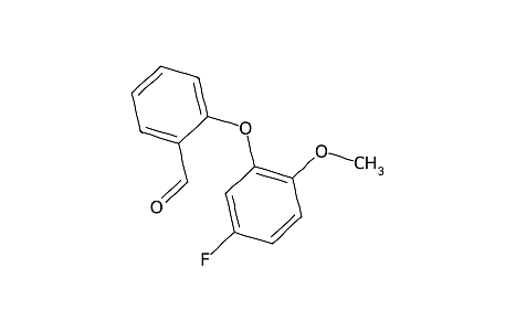 COc1ccc(F)cc1Oc1ccccc1C=O